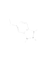 C[Se]c1ccc2c(=O)c(=O)c(=O)c2c1